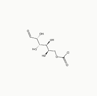 O=C[C@H](O)[C@@H](O)[C@@H](O)[C@H](O)COC(=O)Cl